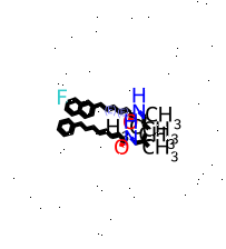 CC(C)C(C)NC(=O)/C=C/C=C/Cc1ccc2ccc(F)cc2c1.CC(C)CNC(=O)C=CC=CCCCc1ccccc1